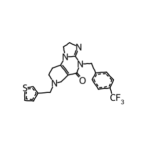 O=C1C2=C(CCN(Cc3ccsc3)C2)N2CCN=C2N1Cc1ccc(C(F)(F)F)cc1